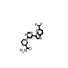 NC(=O)C1CCCN(c2cc(-c3cnc4ccc(C(F)F)nn34)ncn2)C1